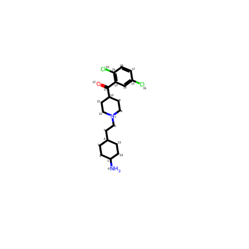 NC1CCC(CCN2CCC(C(=O)c3cc(Cl)ccc3Cl)CC2)CC1